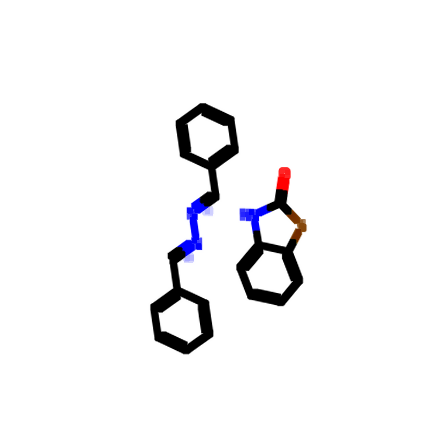 C(=N\N=C\c1ccccc1)/c1ccccc1.O=c1[nH]c2ccccc2s1